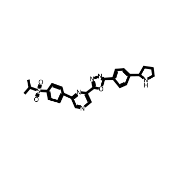 CC(C)S(=O)(=O)c1ccc(-c2cncc(-c3nnc(-c4ccc(C5CCCN5)cc4)o3)n2)cc1